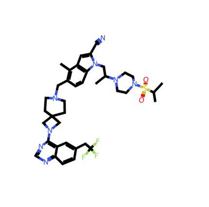 Cc1c(CN2CCC3(CC2)CN(c2ncnc4ccc(CC(F)(F)F)cc24)C3)ccc2c1cc(C#N)n2CC(C)N1CCN(S(=O)(=O)C(C)C)CC1